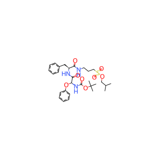 CC(C)COS(=O)(=O)CCCNC(=O)[C@H](Cc1ccccc1)NC(=O)[C@@H](NC(=O)OC(C)(C)C)Oc1ccccc1